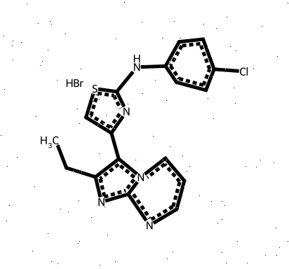 Br.CCc1nc2ncccn2c1-c1csc(Nc2ccc(Cl)cc2)n1